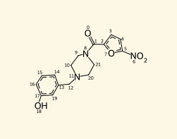 O=C(c1ccc([N+](=O)[O-])o1)N1CCN(Cc2cccc(O)c2)CC1